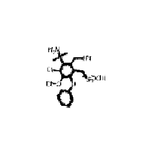 CCOc1c(CC)c(C(C)(C)N)c(CC(C)C)c(CC(C)C)c1Oc1ccccc1.Cl.O